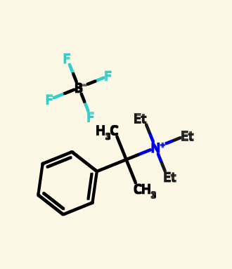 CC[N+](CC)(CC)C(C)(C)c1ccccc1.F[B-](F)(F)F